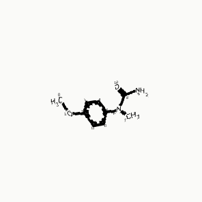 COc1ccc(N(C)C(N)=O)cc1